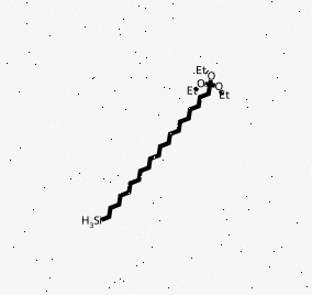 CCOC(CCCCCCCCCCCCCCCCCCCCC[SiH3])(OCC)OCC